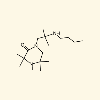 CCCCNC(C)(C)CN1CC(C)(C)NC(C)(C)C1=O